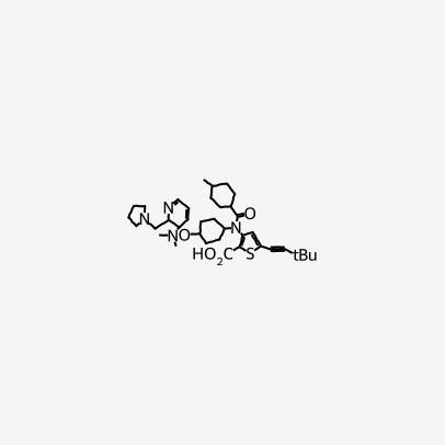 CC1CCC(C(=O)N(c2cc(C#CC(C)(C)C)sc2C(=O)O)C2CCC(OC3(N(C)C)C=CC=NC3CN3CCCC3)CC2)CC1